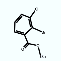 CC(C)(C)OC(=O)c1cccc(Cl)c1Br